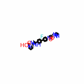 O=C(O)N1CCC[C@H]1c1ncc(-c2ccc(-c3ccc(N4C[C@@H](Cn5ccnn5)OO4)cc3F)cc2)[nH]1